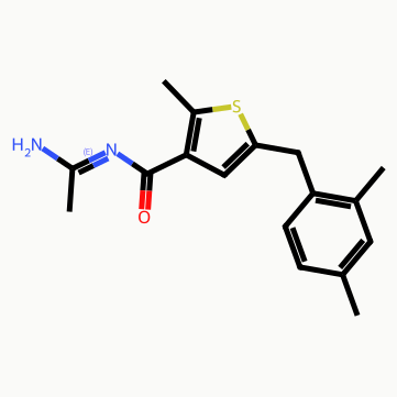 C/C(N)=N\C(=O)c1cc(Cc2ccc(C)cc2C)sc1C